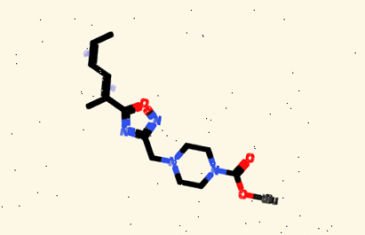 C/C=C\C=C(/C)c1nc(CN2CCN(C(=O)OC(C)(C)C)CC2)no1